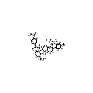 CCN(CC)c1ccc(C(=O)NC2(C(=O)NC3CCN(c4ccc(F)cc4S(C)(=O)=O)CC3=O)CCCCC2)cc1.Cl